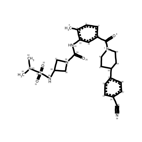 Cc1ccc(C(=O)N2CCC(c3ccc(C#N)cc3)CC2)cc1NC(=O)N1CC(NS(=O)(=O)N(C)C)C1